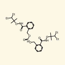 CCC(CC)C(C)(C)ONC(=O)c1ccccc1CO[PH](=O)OCc1ccccc1C(=O)NOC(C)(C)C(CC)CC